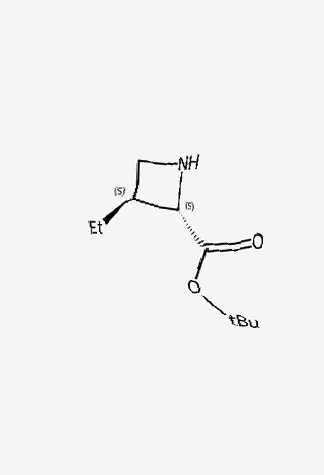 CC[C@H]1CN[C@@H]1C(=O)OC(C)(C)C